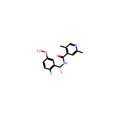 Cc1cc(C(=O)N[C@H](C)c2cc(OC(F)(F)F)ccc2F)c(C)cn1